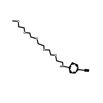 C#Cc1ccc(NCCOCCOCCOCCOCCOC)cc1